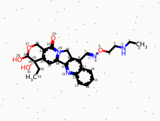 CCNCCO/N=C/c1c2c(nc3ccccc13)-c1cc3c(c(=O)n1C2)COC(O)[C@]3(O)CC